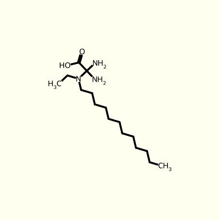 CCCCCCCCCCCCN(CC)C(N)(N)C(=O)O